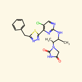 CC(Nc1ncc(Cl)c(-c2nnc(Cc3ccccc3)s2)n1)C(C)N1CC(=O)NC1=O